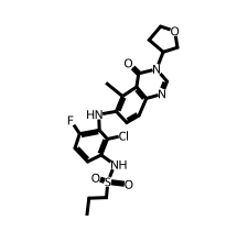 CCCS(=O)(=O)Nc1ccc(F)c(Nc2ccc3ncn(C4CCOC4)c(=O)c3c2C)c1Cl